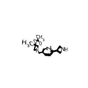 CC(=O)OC1(C)CN(Cc2ccc(C3CNC3)nc2)C1